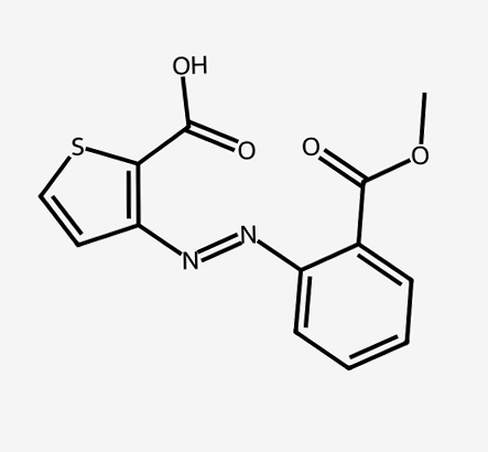 COC(=O)c1ccccc1N=Nc1ccsc1C(=O)O